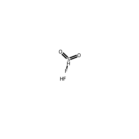 F.O=[SH](=O)F